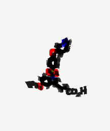 CC(C)Oc1ccc2c(c1)c(CCC(=O)O)cn2S(=O)(=O)c1ccc(Oc2cccnc2)cc1